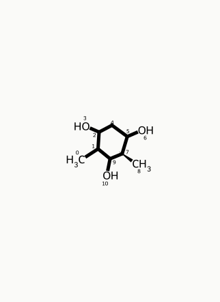 CC1C(O)CC(O)[C@@H](C)C1O